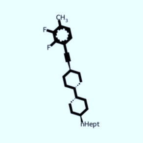 CCCCCCC[C@H]1CC[C@H]([C@H]2CC[C@H](C#Cc3ccc(C)c(F)c3F)CC2)CC1